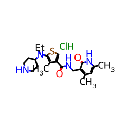 CCN(c1scc(C(=O)NCc2c(C)cc(C)[nH]c2=O)c1C)C1CCNCC1.Cl